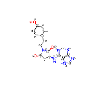 O=C1C[C@H](Nc2ncnc3nc[nH]c23)C(=O)N1CCc1ccc(O)cc1